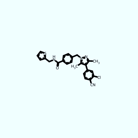 Cc1nn(Cc2ccc(C(=O)NCc3cccs3)cc2)c(C)c1-c1ccc(C#N)c(Cl)c1